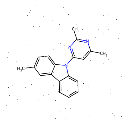 Cc1ccc2c(c1)c1ccccc1n2-c1cc(C)nc(C)n1